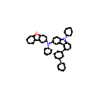 c1ccc(-c2cccc(-c3cccc4c3c3cc(N(c5ccccc5)c5ccc6oc7ccccc7c6c5)ccc3n4-c3ccccc3)c2)cc1